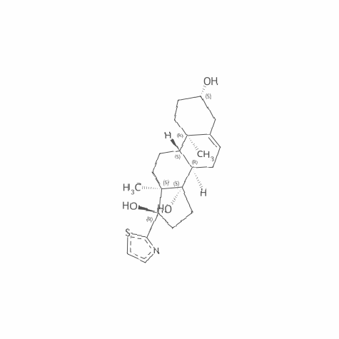 C[C@]12CC[C@H]3[C@@H](CC=C4C[C@@H](O)CC[C@@]43C)[C@@]1(O)CC[C@]2(O)c1nccs1